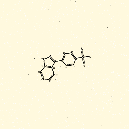 CS(=O)(=O)c1ccc(-c2csc3[c]ncnc23)cc1